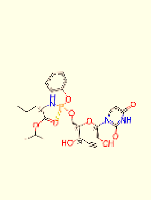 C#C[C@H](O)[C@@H](COP(=S)(N[C@@H](CCC)C(=O)OC(C)C)Oc1ccccc1)O[C@H](CO)n1ccc(=O)[nH]c1=O